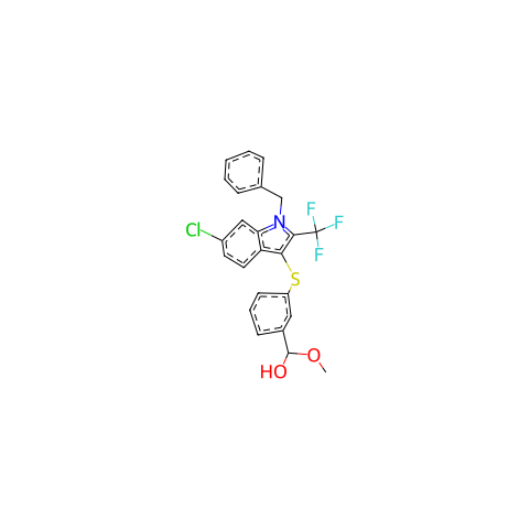 COC(O)c1cccc(Sc2c(C(F)(F)F)n(Cc3ccccc3)c3cc(Cl)ccc23)c1